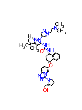 CN(C)CCn1cc(-n2nc(C(C)(C)C)cc2NC(=O)N[C@H]2CC[C@@H](Oc3ccc4nnc(N5CCC[C@H]5CO)n4c3)c3ccccc32)cn1